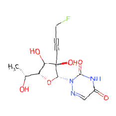 C[C@@H](O)[C@H]1O[C@@H](n2ncc(=O)[nH]c2=O)[C@@](O)(C#CCF)C1O